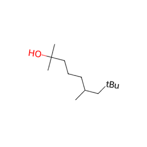 CC(CCCC(C)(C)O)CC(C)(C)C